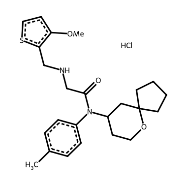 COc1ccsc1CNCC(=O)N(c1ccc(C)cc1)C1CCOC2(CCCC2)C1.Cl